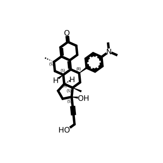 C[C@H]1C[C@@H]2C(=C3CCC(=O)C=C31)[C@@H](c1ccc(N(C)C)cc1)C[C@@]1(C)[C@H]2CC[C@@]1(O)C#CCO